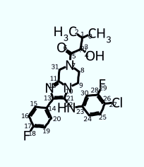 CC(C)[C@@H](O)C(=O)N1CCn2c(nc(-c3ccc(F)cc3)c2Nc2ccc(Cl)c(F)c2)C1